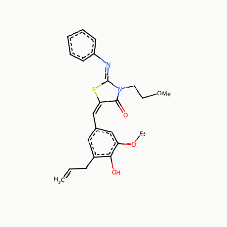 C=CCc1cc(/C=C2/S/C(=N\c3ccccc3)N(CCOC)C2=O)cc(OCC)c1O